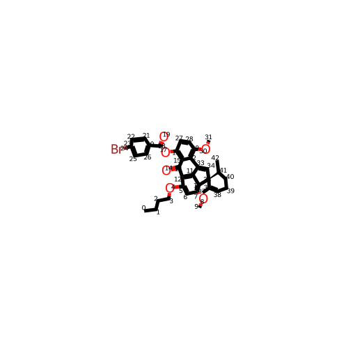 CCCCOc1cc(OC)c2c3c1C(=O)c1c(OC(=O)c4ccc(Br)cc4)ccc(OC)c1C3=C[C@]21C(C)=CCCC1C